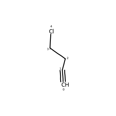 C#CC[CH]Cl